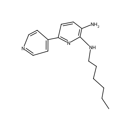 CCCCCCNc1nc(-c2ccncc2)ccc1N